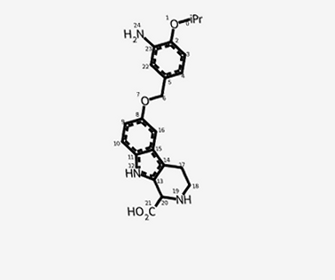 CC(C)Oc1ccc(COc2ccc3[nH]c4c(c3c2)CCNC4C(=O)O)cc1N